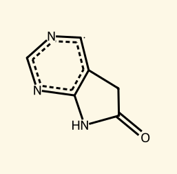 O=C1Cc2[c]ncnc2N1